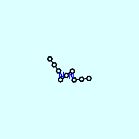 c1ccc(-c2ccc(-c3ccc(-n4c5ccccc5c5cc6c(cc54)c4ccccc4n6-c4cccc(-c5ccc(-c6ccccc6)cc5)c4)cc3)cc2)cc1